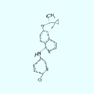 C[C@@H](Oc1ccc2c(Nc3ccc(Cl)nc3)nccc2c1)C1(F)CC1